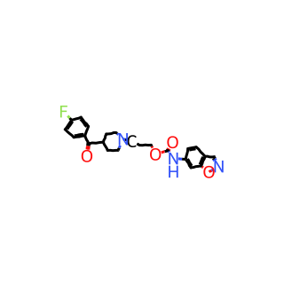 O=C(Nc1ccc2cnoc2c1)OCCCN1CCC(C(=O)c2ccc(F)cc2)CC1